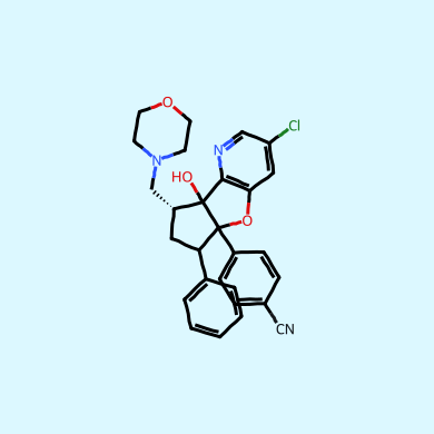 N#Cc1ccc(C23Oc4cc(Cl)cnc4C2(O)[C@@H](CN2CCOCC2)CC3c2ccccc2)cc1